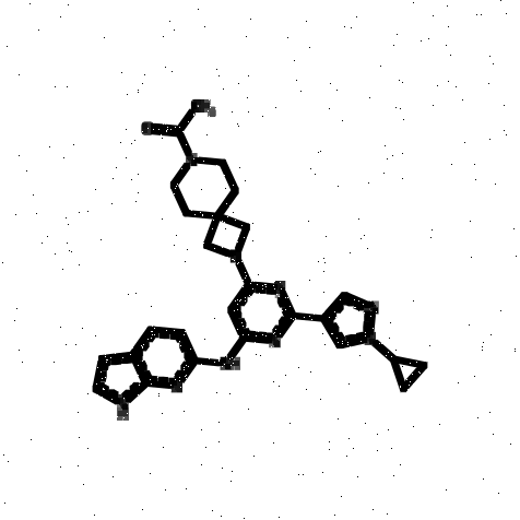 CC(=O)N1CCC2(CC1)CN(c1cc(Nc3ccc4cc[nH]c4n3)nc(-c3cnn(C4CC4)c3)n1)C2